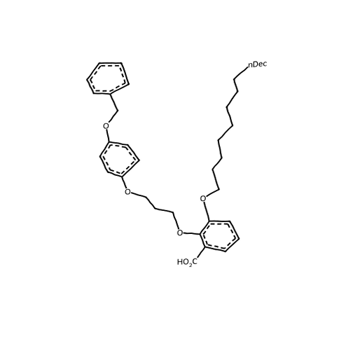 CCCCCCCCCCCCCCCCCCOc1cccc(C(=O)O)c1OCCCOc1ccc(OCc2ccccc2)cc1